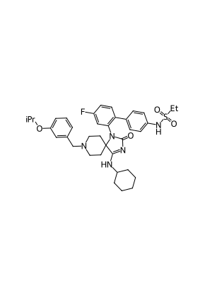 CCS(=O)(=O)Nc1ccc(-c2ccc(F)cc2N2C(=O)N=C(NC3CCCCC3)C23CCN(Cc2cccc(OC(C)C)c2)CC3)cc1